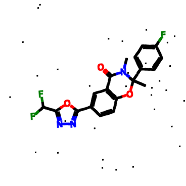 CN1C(=O)c2cc(-c3nnc(C(F)F)o3)ccc2OC1(C)c1ccc(F)cc1